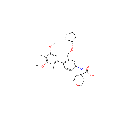 COc1cc(-c2ccc(NC3(C(=O)O)CCOCC3)cc2COC2CCCC2)c(C)c(OC)c1C